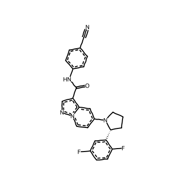 N#Cc1ccc(NC(=O)c2cnn3ccc(N4CCC[C@@H]4c4cc(F)ccc4F)cc23)cc1